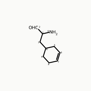 NC(C=O)CC1CC=CCC1